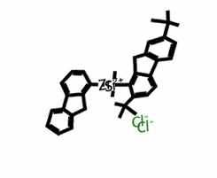 CC(C)(C)c1ccc2c(c1)Cc1c-2ccc(C(C)(C)C)c1[Si](C)(C)[Zr+2][c]1cccc2c1Cc1ccccc1-2.[Cl-].[Cl-]